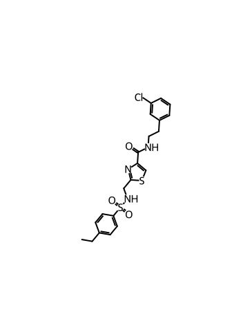 CCc1ccc(S(=O)(=O)NCc2nc(C(=O)NCCc3cccc(Cl)c3)cs2)cc1